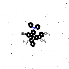 C=C1c2cc(C)ccc2-c2cc3c(cc21)-c1c(cc(C)c2ccccc12)C3(c1ccc(N(c2ccccc2)c2ccccc2)cc1)c1ccc(C(C)(C)C)cc1